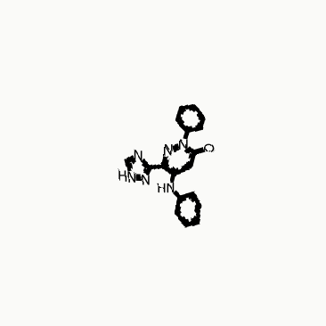 O=c1cc(Nc2ccccc2)c(-c2nc[nH]n2)nn1-c1ccccc1